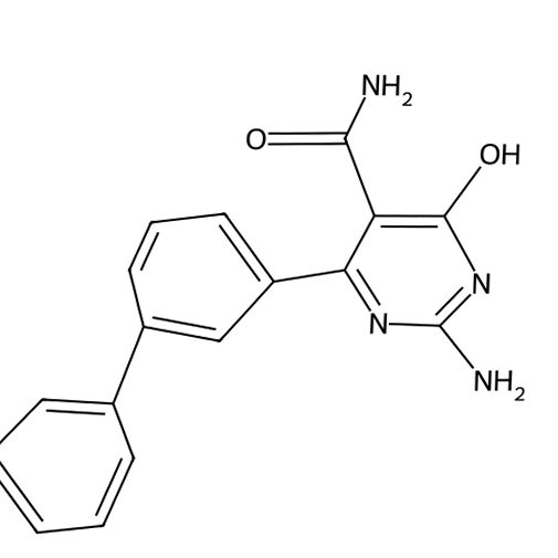 NC(=O)c1c(O)nc(N)nc1-c1cccc(-c2ccccc2)c1